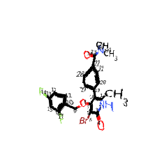 Cc1[nH]c(=O)c(Br)c(OCc2ccc(F)cc2F)c1-c1ccc(C(=O)N(C)C)cc1